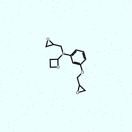 c1cc(OCC2CO2)cc(N(CC2CO2)C2CCO2)c1